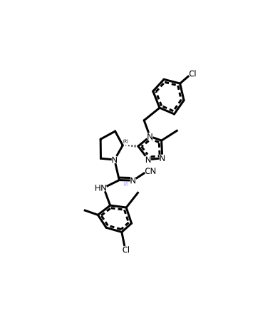 Cc1cc(Cl)cc(C)c1N/C(=N/C#N)N1CCC[C@@H]1c1nnc(C)n1Cc1ccc(Cl)cc1